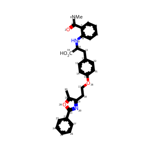 CNC(=O)c1ccccc1NC(Cc1ccc(OCCc2nc(-c3ccccc3)oc2C)cc1)C(=O)O